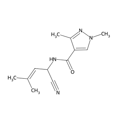 CC(C)=CC(C#N)NC(=O)c1cn(C)nc1C